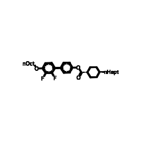 CCCCCCCCOc1ccc(-c2ccc(OC(=O)[C@H]3CC[C@H](CCCCCCC)CC3)cc2)c(F)c1F